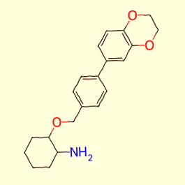 NC1CCCCC1OCc1ccc(-c2ccc3c(c2)OCCO3)cc1